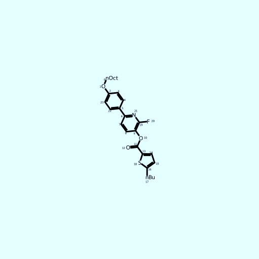 CCCCCCCCOc1ccc(-c2ccc(OC(=O)c3ccc(CCCC)s3)c(F)n2)cc1